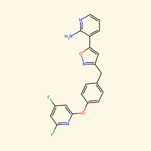 Nc1ncccc1-c1cc(Cc2ccc(Oc3cc(F)cc(F)n3)cc2)no1